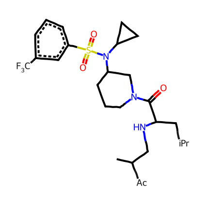 CC(=O)C(C)CNC(CC(C)C)C(=O)N1CCCC(N(C2CC2)S(=O)(=O)c2cccc(C(F)(F)F)c2)C1